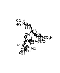 CCCCCCOCN(C(=O)C(NC(=O)C1CCCCN1C)C(C)CC)[C@H](C[C@@H](OC(C)=O)c1nc(C(=O)N[C@@H](Cc2ccc(O)cc2)CC(C)C(=O)NNC(=O)OCCSSC[C@@H](C)NC(=O)[C@H](CC(=O)O)NC(=O)C(CC(=O)O)NC(=O)Cc2ccc(CNC(=O)NCCCC[C@@H](C)NC(=O)N[C@@H](CCC(=O)O)C(=O)O)cc2)cs1)C(C)C